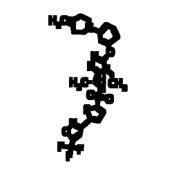 CCn1c(Oc2cccc(N3CCN(C)CC3)c2)nnc1[C@@H](C)NS(=O)(=O)c1ccc(-c2cc(C(F)(F)F)on2)s1